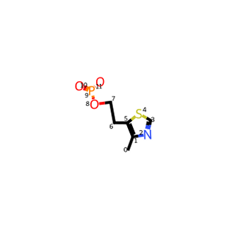 Cc1ncsc1CCOP(=O)=O